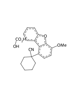 COc1ccc(C2(C#N)CCCCC2)c2c1oc1ccccc12.O=C(O)O